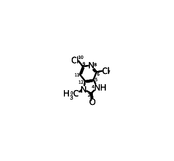 Cn1c(=O)[nH]c2c(Cl)nc(Cl)cc21